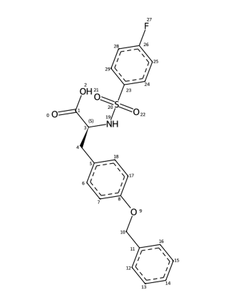 O=C(O)[C@H](Cc1ccc(OCc2ccccc2)cc1)NS(=O)(=O)c1ccc(F)cc1